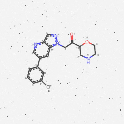 O=C(Cn1ncc2ncc(-c3cccc(C(F)(F)F)c3)cc21)C1CNCCO1